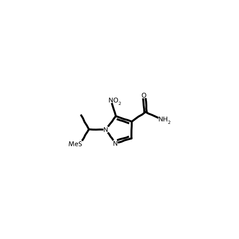 CSC(C)n1ncc(C(N)=O)c1[N+](=O)[O-]